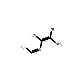 [C-]#[N+]/C(N)=C(/N=C\C)[N+]#[C-]